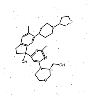 Cc1nc(N2CCOC[C@@H]2CO)cc(C2(O)CCc3cc(C)c(C4CCN(C5CCOC5)CC4)cc32)n1